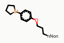 CCCCCCCCCCCCOc1ccc([S+]2CCCC2)cc1